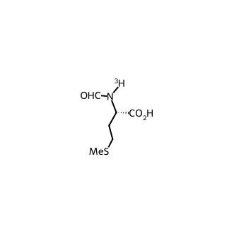 [3H]N(C=O)[C@@H](CCSC)C(=O)O